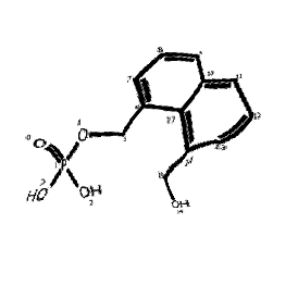 O=P(O)(O)OCc1cccc2cccc(CO)c12